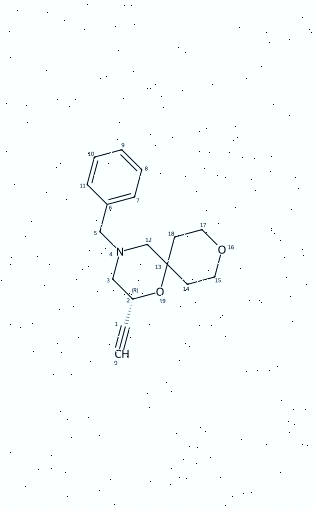 C#C[C@@H]1CN(Cc2ccccc2)CC2(CCOCC2)O1